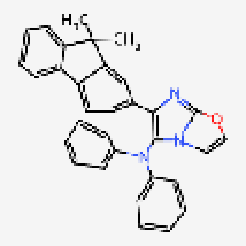 CC1(C)c2ccccc2-c2ccc(-c3nc4occn4c3N(c3ccccc3)c3ccccc3)cc21